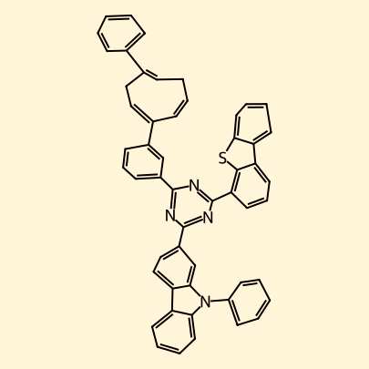 C1=C\C(c2cccc(-c3nc(-c4ccc5c6ccccc6n(-c6ccccc6)c5c4)nc(-c4cccc5c4sc4ccccc45)n3)c2)=C/C/C(c2ccccc2)=C/C/1